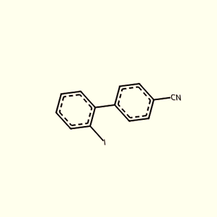 N#Cc1ccc(-c2ccccc2I)cc1